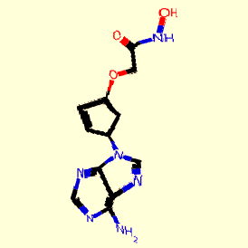 Nc1ncnc2c1ncn2[C@H]1C=C[C@@H](OCC(=O)NO)C1